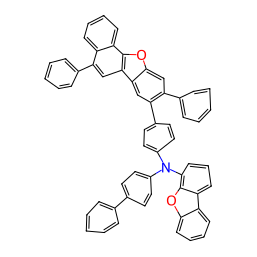 c1ccc(-c2ccc(N(c3ccc(-c4cc5c(cc4-c4ccccc4)oc4c6ccccc6c(-c6ccccc6)cc54)cc3)c3cccc4c3oc3ccccc34)cc2)cc1